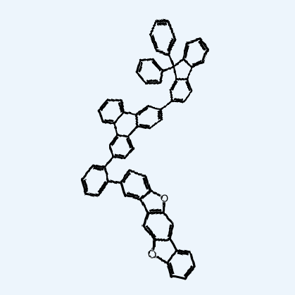 c1ccc(C2(c3ccccc3)c3ccccc3-c3ccc(-c4ccc5c6ccc(-c7ccccc7-c7ccc8oc9cc%10c(cc9c8c7)oc7ccccc7%10)cc6c6ccccc6c5c4)cc32)cc1